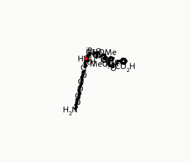 CC[C@H](C)[C@@H]([C@@H](CC(=O)N1CCC[C@H]1[C@H](OC)[C@@H](C)C(=O)N[C@@H](Cc1ccccc1)C(=O)O)OC)N(C)C(=O)[C@@H](NC(=O)C(C)(C)NC(=O)CCOCCOCCOCCOCCOCCOCCN)C(C)C